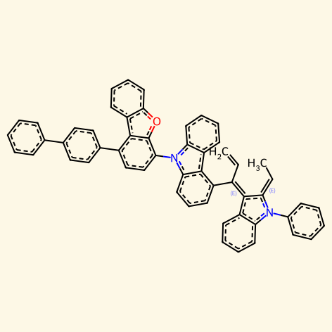 C=C/C(c1cccc2c1c1ccccc1n2-c1ccc(-c2ccc(-c3ccccc3)cc2)c2c1oc1ccccc12)=c1\c(=C/C)n(-c2ccccc2)c2ccccc12